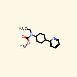 CC(C)(C)OC(=O)N(CC(=O)O)C1CCC(c2ccccn2)CC1